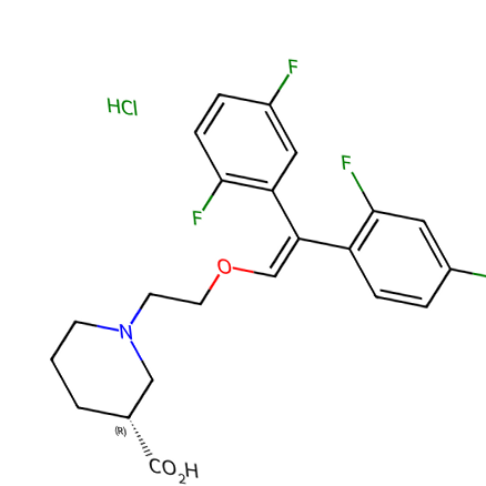 Cl.O=C(O)[C@@H]1CCCN(CCOC=C(c2ccc(F)cc2F)c2cc(F)ccc2F)C1